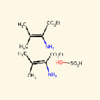 CCOC(=O)C(N)=C(C)C.CCOC(=O)C(N)=C(C)C.O=S(=O)(O)O